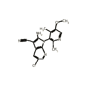 COc1cnc(C)c(-n2c(N)c(C#N)c3cc(Cl)cnc32)c1C